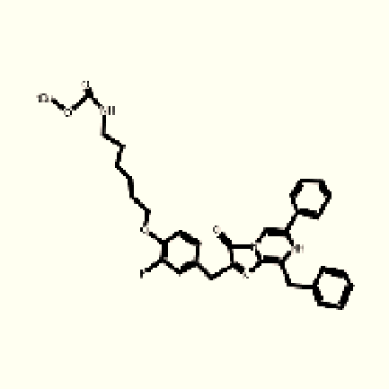 CC(C)(C)OC(=O)NCCCCCCOc1ccc(Cc2nc3c(Cc4ccccc4)[nH]c(-c4ccccc4)cn-3c2=O)cc1F